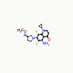 CON=C1CCN(c2c(F)c(N)c3c(=O)ccn(C4CC4)c3c2F)C1